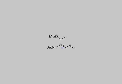 C=C/C=C(/NC(C)=O)C(C)OC